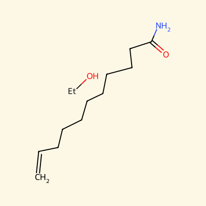 C=CCCCCCCCCC(N)=O.CCO